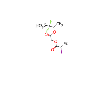 CCC(I)C(=O)OCC(=O)OC(C(F)(F)F)C(F)(F)S(=O)(=O)O